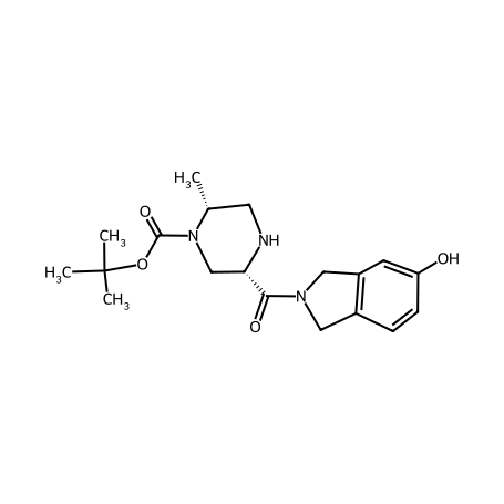 C[C@@H]1CN[C@H](C(=O)N2Cc3ccc(O)cc3C2)CN1C(=O)OC(C)(C)C